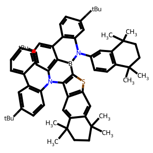 CC(C)(C)c1ccc(N2c3cc(C(C)(C)C)cc4c3B(c3sc5cc6c(cc5c32)C(C)(C)CCC6(C)C)N(c2ccc3c(c2)C(C)(C)CCC3(C)C)c2cc(C(C)(C)C)ccc2-4)c(-c2ccccc2)c1